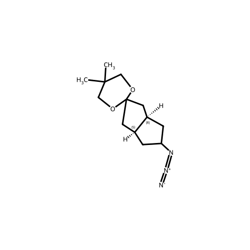 CC1(C)COC2(C[C@H]3CC(N=[N+]=[N-])C[C@H]3C2)OC1